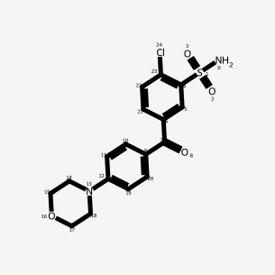 NS(=O)(=O)c1cc(C(=O)c2ccc(N3CCOCC3)cc2)ccc1Cl